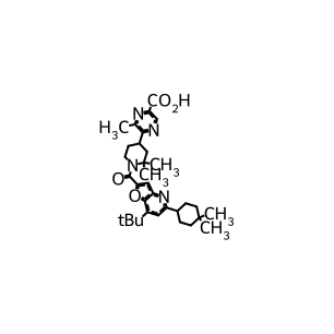 Cc1nc(C(=O)O)cnc1C1CCN(C(=O)c2cc3nc(C4CCC(C)(C)CC4)cc(C(C)(C)C)c3o2)C(C)(C)C1